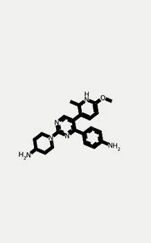 COC1=CC=C(c2cnc(N3CCC(N)CC3)nc2-c2ccc(N)cc2)C(C)N1